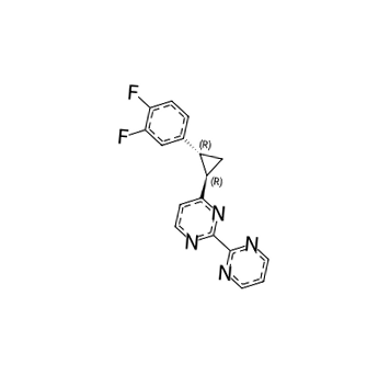 Fc1ccc([C@@H]2C[C@H]2c2ccnc(-c3ncccn3)n2)cc1F